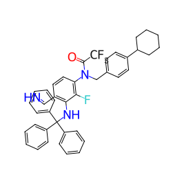 N=Cc1ccc(N(Cc2ccc(C3CCCCC3)cc2)C(=O)C(F)(F)F)c(F)c1NC(c1ccccc1)(c1ccccc1)c1ccccc1